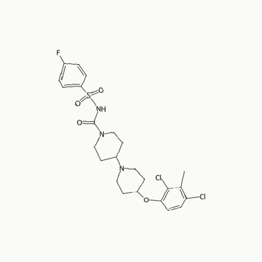 Cc1c(Cl)ccc(OC2CCN(C3CCN(C(=O)NS(=O)(=O)c4ccc(F)cc4)CC3)CC2)c1Cl